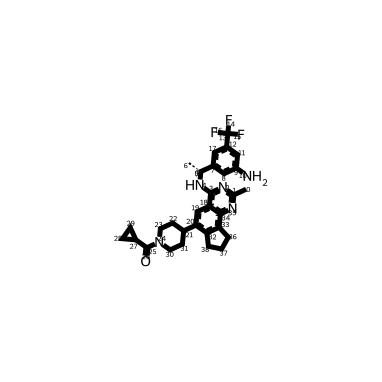 Cc1nc(N[C@H](C)c2cc(N)cc(C(F)(F)F)c2)c2cc(C3CCN(C(=O)C4CC4)CC3)c3c(c2n1)CCC3